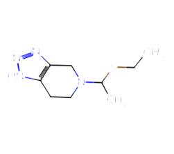 CCSC(C)N1CCc2[nH]nnc2C1